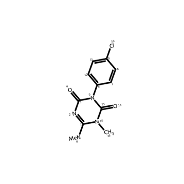 CNc1nc(=O)n(-c2ccc(Cl)cc2)c(=O)n1C